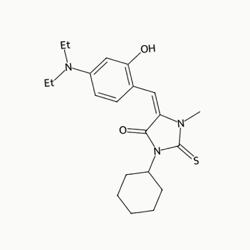 CCN(CC)c1ccc(/C=C2\C(=O)N(C3CCCCC3)C(=S)N2C)c(O)c1